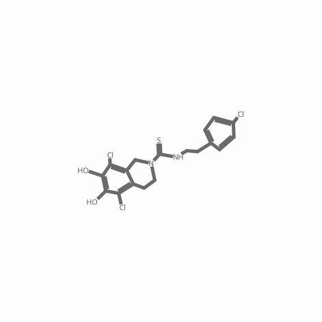 Oc1c(O)c(Cl)c2c(c1Cl)CCN(C(=S)NCCc1ccc(Cl)cc1)C2